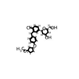 COC1CCC(Oc2ccc(Cc3cc([C@H]4CC(O)C[C@@H](CO)O4)ccc3Cl)cc2)C1